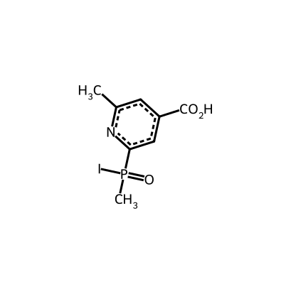 Cc1cc(C(=O)O)cc(P(C)(=O)I)n1